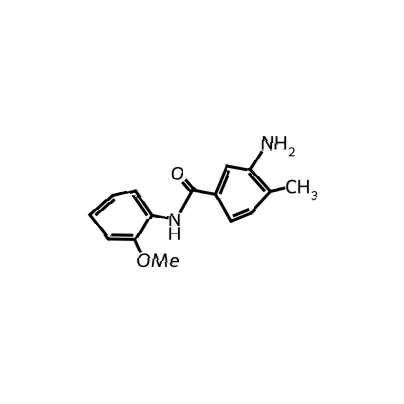 COc1ccccc1NC(=O)c1ccc(C)c(N)c1